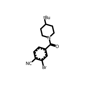 CC(C)(C)C1CCN(C(=O)c2ccc(C#N)c(Br)c2)CC1